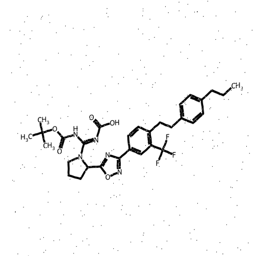 CCCc1ccc(CCc2ccc(-c3noc(C4CCCN4C(=NC(=O)O)NC(=O)OC(C)(C)C)n3)cc2C(F)(F)F)cc1